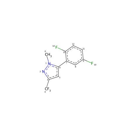 Cn1nc(C(F)(F)F)cc1-c1cc(F)ccc1F